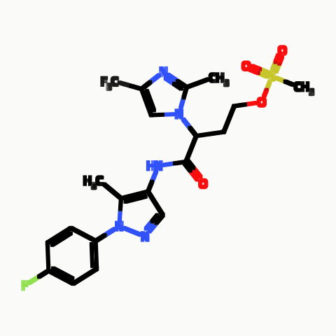 Cc1nc(C(F)(F)F)cn1C(CCOS(C)(=O)=O)C(=O)Nc1cnn(-c2ccc(F)cc2)c1C